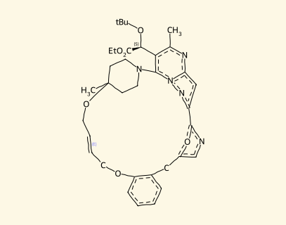 CCOC(=O)[C@@H](OC(C)(C)C)c1c(C)nc2cc3nn2c1N1CCC(C)(CC1)OC/C=C/COc1ccccc1Cc1cnc-3o1